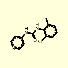 Cc1cccc(Cl)c1NC(=O)Nc1ccncc1